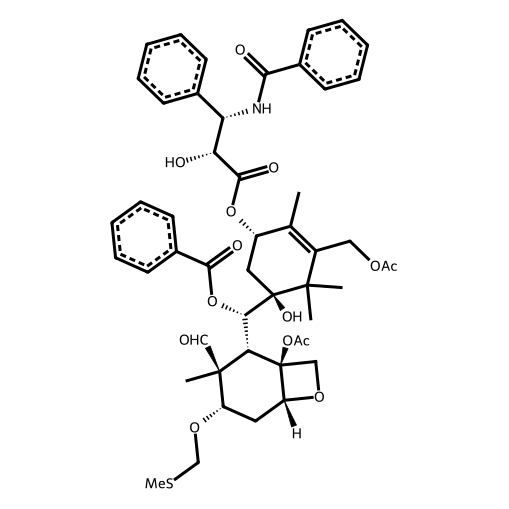 CSCO[C@H]1C[C@H]2OC[C@@]2(OC(C)=O)[C@@H]([C@H](OC(=O)c2ccccc2)[C@]2(O)C[C@H](OC(=O)[C@H](O)[C@@H](NC(=O)c3ccccc3)c3ccccc3)C(C)=C(COC(C)=O)C2(C)C)[C@]1(C)C=O